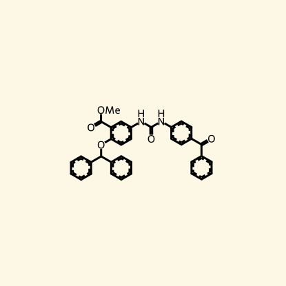 COC(=O)c1cc(NC(=O)Nc2ccc(C(=O)c3ccccc3)cc2)ccc1OC(c1ccccc1)c1ccccc1